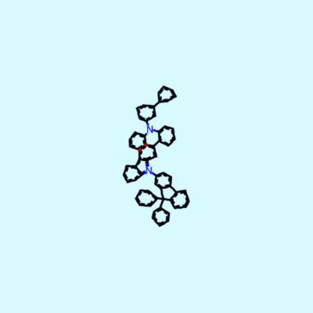 c1ccc(-c2cccc(N(c3ccccc3)c3ccccc3-c3ccc4c5ccccc5n(-c5ccc6c(c5)C(c5ccccc5)(c5ccccc5)c5ccccc5-6)c4c3)c2)cc1